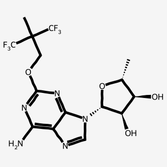 C[C@H]1O[C@@H](n2cnc3c(N)nc(OCC(C)(C(F)(F)F)C(F)(F)F)nc32)[C@H](O)[C@@H]1O